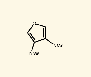 CNc1cocc1NC